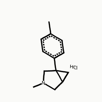 Cc1ccc(C23CC2CN(C)C3)cc1.Cl